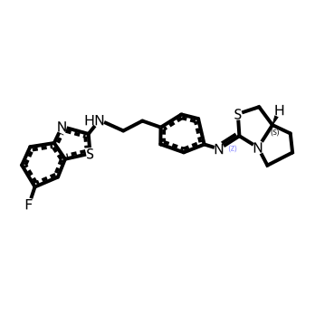 Fc1ccc2nc(NCCc3ccc(/N=C4\SC[C@@H]5CCCN45)cc3)sc2c1